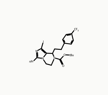 CCCc1nc(I)c2n1CCN(C(=O)OC(C)(C)C)C2CCc1ccc(C(F)(F)F)cc1